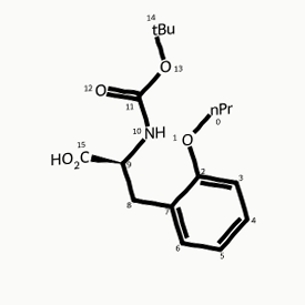 CCCOc1ccccc1C[C@H](NC(=O)OC(C)(C)C)C(=O)O